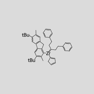 Cc1cc2c(cc1C(C)(C)C)-c1cc(C(C)(C)C)c(C)[c]([Zr]([C]3=CC=CC3)=[C](CCc3ccccc3)CCc3ccccc3)c1C2